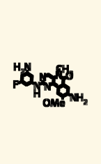 COc1cc2c(cc1N)c(=O)n(C)c1cnc(Nc3cc(N)cc(F)c3)nc21